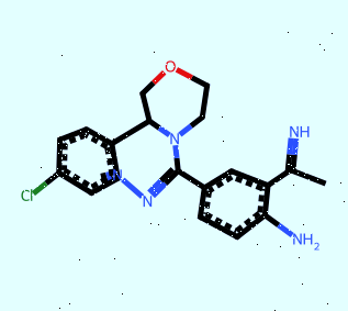 C=N/N=C(/c1ccc(N)c(C(C)=N)c1)N1CCOCC1c1ccc(Cl)cc1